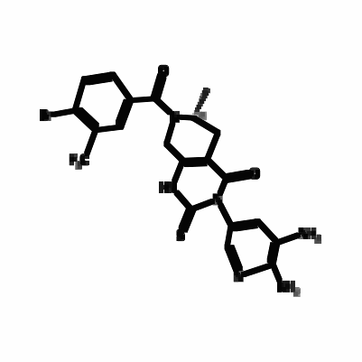 C[C@@H]1Cc2c([nH]c(=S)n(-c3cnc(N)c(N)c3)c2=O)CN1C(=O)c1ccc(Br)c(C(F)(F)F)c1